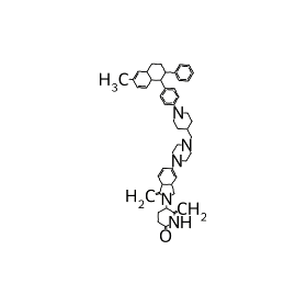 C=C1NC(=O)CCC1N1CC2C=C(N3CCN(CC4CCN(c5ccc(C6C(c7ccccc7)CCC7C=C(C)C=CC76)cc5)CC4)CC3)C=CC2C1=C